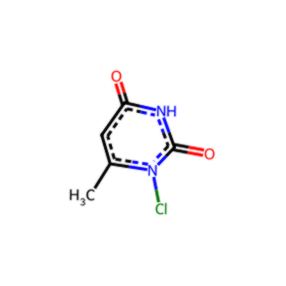 Cc1cc(=O)[nH]c(=O)n1Cl